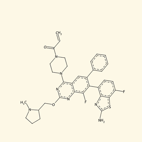 C=CC(=O)N1CCN(c2nc(OCC3CCCN3C)nc3c(F)c(-c4ccc(F)c5sc(N)nc45)c(-c4ccccc4)cc23)CC1